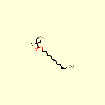 CCCCCCCC/C=C\CCCCCCCCOC(=O)C(CC(C)C)(CC(C)C)C(C)=O